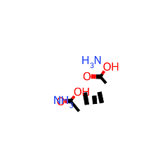 C=C.C=C.C=C.CC(=O)O.CC(=O)O.N.N